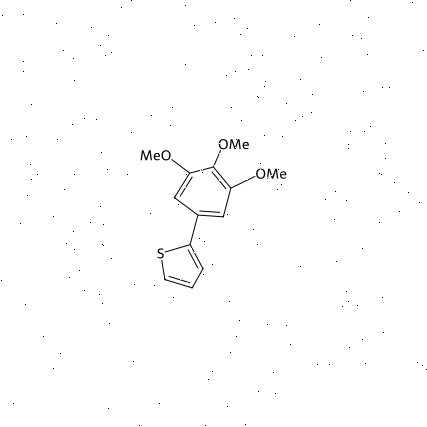 COc1cc(-c2cccs2)cc(OC)c1OC